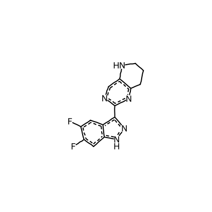 Fc1cc2[nH]nc(-c3ncc4c(n3)CCCN4)c2cc1F